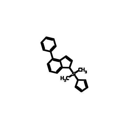 C[Si](C)(C1C=CC=C1)C1C=Cc2c(-c3ccccc3)cccc21